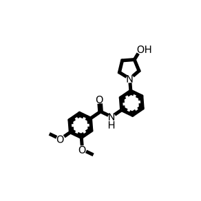 COc1ccc(C(=O)Nc2cccc(N3CCC(O)C3)c2)cc1OC